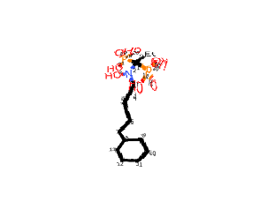 CCC(N(O)CCCCC1CCCCC1)(P(=O)(O)O)P(=O)(O)O